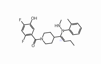 CC/C=C(/C1CCN(C(=O)c2cc(O)c(F)cc2F)CC1)N(NC)c1ccccc1C